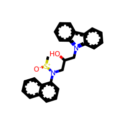 C[S+]([O-])N(CC(O)Cn1c2ccccc2c2ccccc21)c1cccc2ccccc12